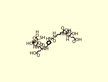 O=C(O)CC[C@H](NC(=O)N[C@@H](CCCCNC(=O)Nc1ccc(CC(=O)N[C@@H](CCC(=O)O)C(=O)N[C@@H](CC(=O)O)C(=O)N[C@@H](CS)C(=O)O)cc1)C(=O)O)C(=O)O